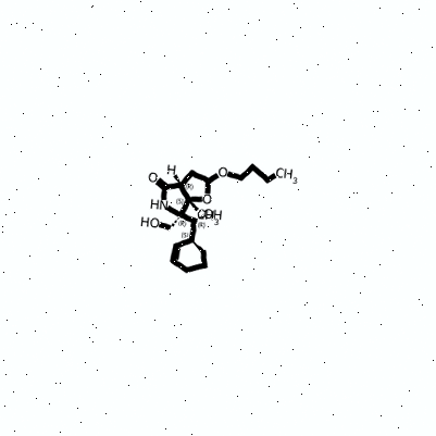 CCCCOC1C[C@H]2C(=O)N[C@](CO)([C@H](O)[C@@H]3C=CCCC3)[C@@]2(C)O1